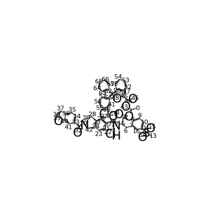 CC(OC(=O)C(Cc1cccc(S(C)(=O)=O)c1)NC(=O)c1c(Cl)cc2c(c1Cl)CCN(C(=O)c1ccc3ccoc3c1)C2)OC(=O)C(C)OC(c1ccccc1)(c1ccccc1)c1ccccc1